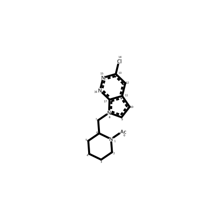 CC(=O)N1CCCCC1Cn1ccc2cc(Cl)nnc21